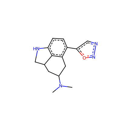 CN(C)C1Cc2c(-c3cnno3)ccc3c2C(CN3)C1